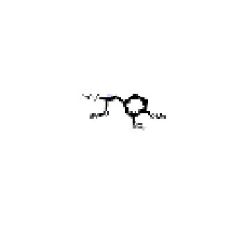 CCOC(=O)/C(=C/c1ccc(OC)c([N+](=O)[O-])c1)OC(C)C